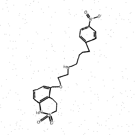 O=[N+]([O-])c1ccc(CCCNCCOc2cccc3c2CCS(=O)(=O)N3)cc1